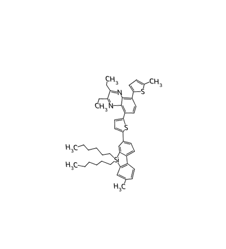 CCCCCC[Si]1(CCCCCC)c2cc(C)ccc2-c2ccc(-c3ccc(-c4ccc(-c5ccc(C)s5)c5nc(CC)c(CC)nc45)s3)cc21